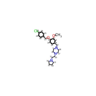 COc1cc(CN2CCN(CCN3CCCC3)CC2)ccc1OCc1ccc(Cl)cc1